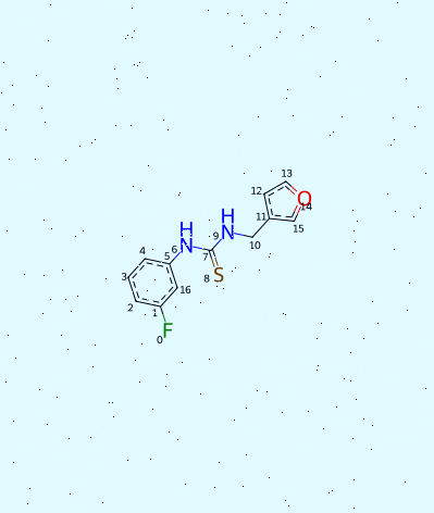 Fc1cccc(NC(=S)NCc2ccoc2)c1